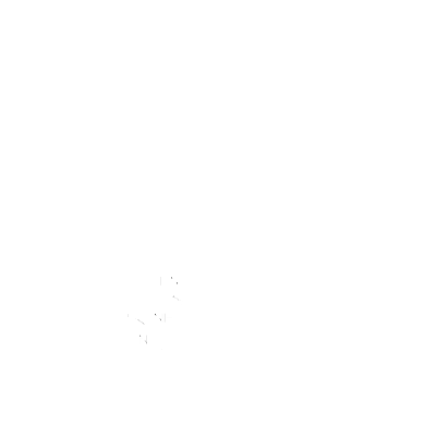 CCCCCCCCCCCCCCCCCCNC(=O)CNC(N)=O